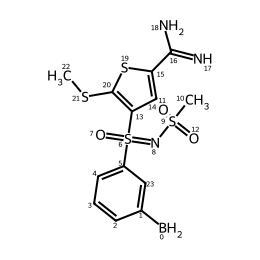 Bc1cccc(S(=O)(=NS(C)(=O)=O)c2cc(C(=N)N)sc2SC)c1